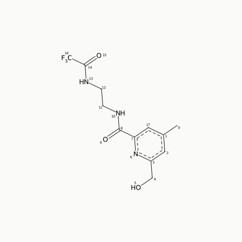 Cc1cc(CO)nc(C(=O)NCCNC(=O)C(F)(F)F)c1